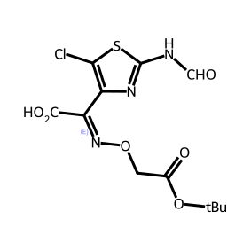 CC(C)(C)OC(=O)CO/N=C(/C(=O)O)c1nc(NC=O)sc1Cl